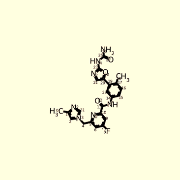 Cc1cn(Cc2cc(F)cc(C(=O)Nc3ccc(C)c(-c4cnc(NC(N)=O)o4)c3)n2)cn1